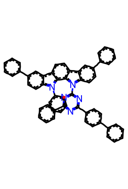 c1ccc(-c2ccc(-c3nc(-c4ccccc4)nc(-n4c5ccc(-c6ccccc6)cc5c5ccc6c7cc(-c8ccccc8)ccc7n(-c7ccccc7)c6c54)n3)cc2)cc1